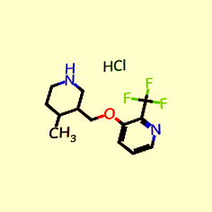 CC1CCNCC1COc1cccnc1C(F)(F)F.Cl